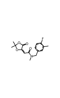 Cc1cc(CN(C)C(=O)C=C2OC(C)(C)OC2=O)ccc1F